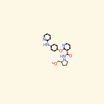 COCC1CCCN1NC(=O)c1cccnc1Oc1ccc(Nc2ccccn2)cc1